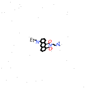 CCC=Nc1cccc2c3c4c(cccc4cc12)C(=O)N(CCN(C)C)C3=O